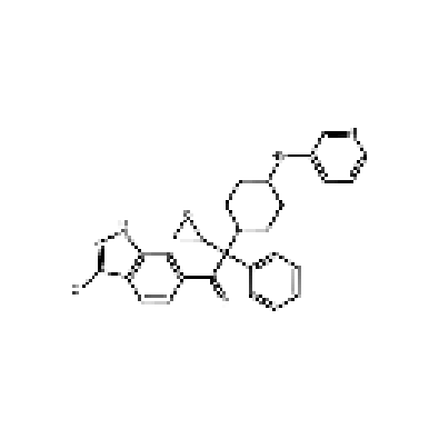 O=C(c1ccc2c(Cl)c[nH]c2c1)C(c1ccccc1)(C1CO1)N1CCC(Nc2cccnc2)CC1